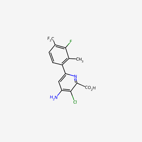 Cc1c(-c2cc(N)c(Cl)c(C(=O)O)n2)ccc(C(F)(F)F)c1F